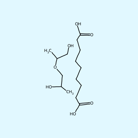 CC(O)COC(C)CO.O=C(O)CCCCCCCC(=O)O